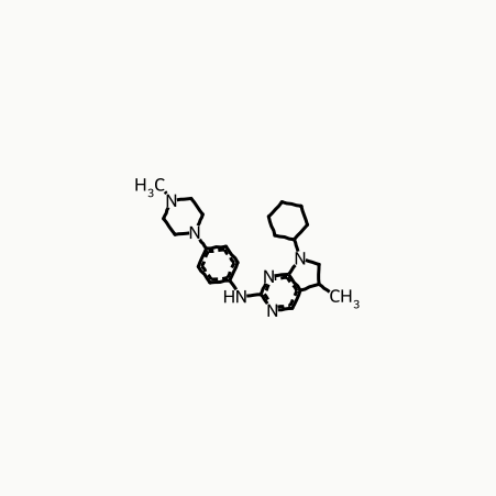 CC1CN(C2CCCCC2)c2nc(Nc3ccc(N4CCN(C)CC4)cc3)ncc21